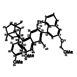 CCc1cccc2cc(OCOC)cc(-c3c(F)cc4c(N5CC6(C)CCC(C)(C5)N6Cc5ccc(OC)cc5)nc(OC)nc4c3F)c12